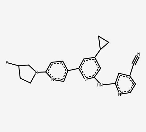 N#Cc1ccnc(Nc2cc(C3CC3)cc(-c3ccc(N4CCC(F)C4)nc3)n2)c1